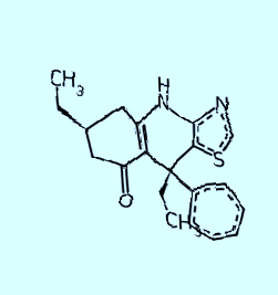 CC[C@@H]1CC(=O)C2=C(C1)Nc1ncsc1[C@]2(CC)c1ccccc1